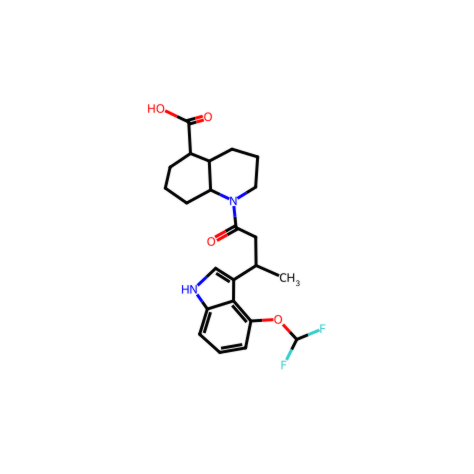 CC(CC(=O)N1CCCC2C(C(=O)O)CCCC21)c1c[nH]c2cccc(OC(F)F)c12